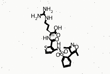 Cc1noc(C)c1-c1ccccc1S(=O)(=O)Nc1ccsc1C(=O)N[C@@H](CCCNC(N)N)C(=O)O